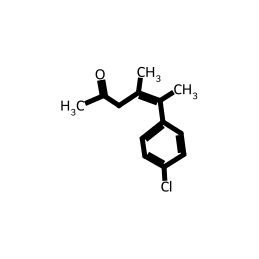 CC(=O)CC(C)=C(C)c1ccc(Cl)cc1